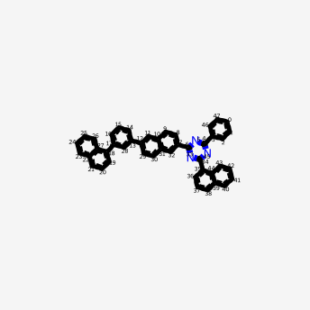 c1ccc(-c2nc(-c3ccc4cc(-c5cccc(-c6cccc7ccccc67)c5)ccc4c3)nc(-c3cccc4ccccc34)n2)cc1